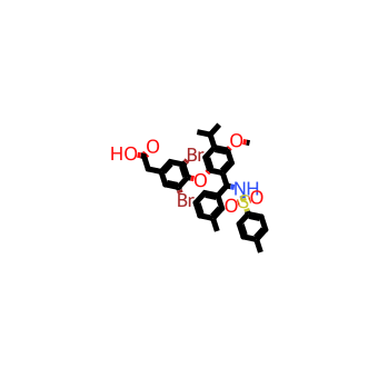 COc1cc(C(NS(=O)(=O)c2ccc(C)cc2)c2cccc(C)c2)c(Oc2c(Br)cc(CC(=O)O)cc2Br)cc1C(C)C